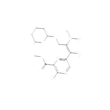 COC(=O)c1nc(/C(N)=C(\COC2CCCCO2)N(C)N)cnc1Br